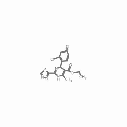 CCOC(=O)C1=C(C)NC(c2nncs2)=NC1c1ccc(Cl)cc1Cl